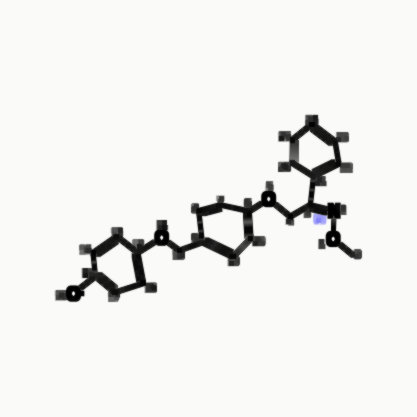 CO/N=C(\COc1ccc(COc2ccc([O])cc2)cc1)c1ccccc1